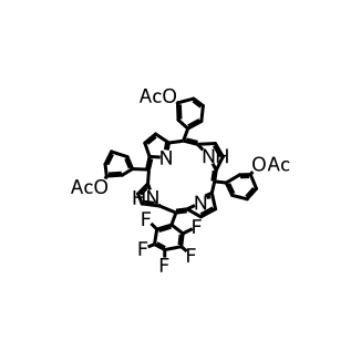 CC(=O)Oc1cccc(-c2c3nc(c(-c4cccc(OC(C)=O)c4)c4ccc([nH]4)c(-c4c(F)c(F)c(F)c(F)c4F)c4nc(c(-c5cccc(OC(C)=O)c5)c5ccc2[nH]5)C=C4)C=C3)c1